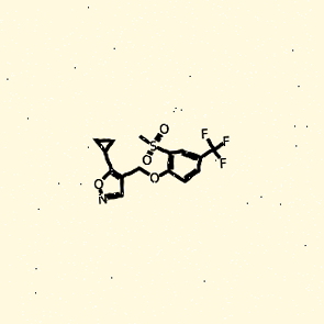 CS(=O)(=O)c1cc(C(F)(F)F)ccc1OCc1cnoc1C1CC1